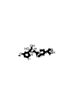 COc1cc(F)cc([C@](O)(CO)NC(=O)c2ncc3cc(-c4cn[nH]c4)ccn23)c1